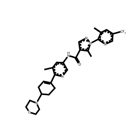 Cc1cc(NC(=O)c2cnn(-c3ncc(C(F)(F)F)cc3C)c2C)cnc1C1=CCC(N2CCOCC2)CC1